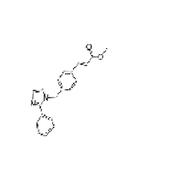 COC(=O)/C=C/c1ccc(Cn2ccnc2-c2ccccc2)cc1